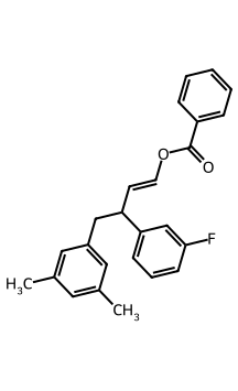 Cc1cc(C)cc(CC(/C=C/OC(=O)c2ccccc2)c2cccc(F)c2)c1